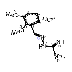 COc1cccc(/C=N/NC(=N)N)c1OC.Cl